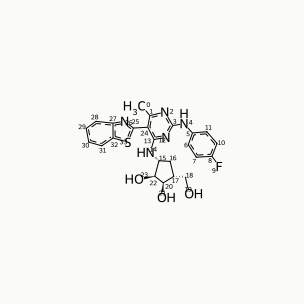 Cc1nc(Nc2ccc(F)cc2)nc(N[C@@H]2C[C@H](CO)[C@@H](O)[C@H]2O)c1-c1nc2ccccc2s1